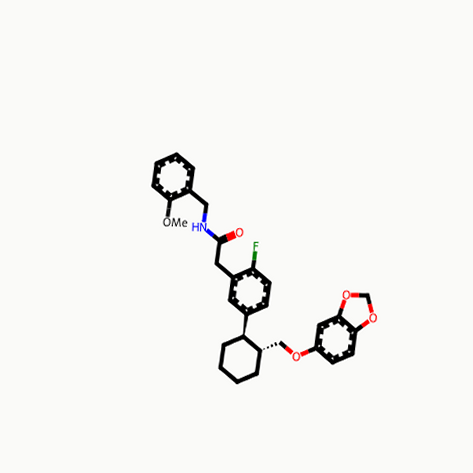 COc1ccccc1CNC(=O)Cc1cc([C@@H]2CCCC[C@H]2COc2ccc3c(c2)OCO3)ccc1F